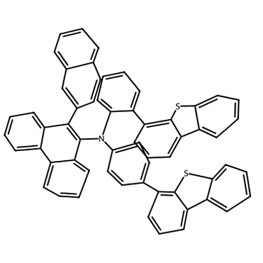 c1ccc(N(c2ccc(-c3cccc4c3sc3ccccc34)cc2)c2c(-c3ccc4ccccc4c3)c3ccccc3c3ccccc23)c(-c2cccc3c2sc2ccccc23)c1